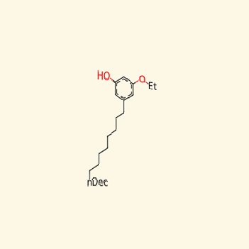 CCCCCCCCCCCCCCCCCCc1cc(O)cc(OCC)c1